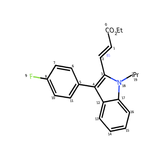 CCOC(=O)/C=C/c1c(-c2ccc(F)cc2)c2ccccc2n1C(C)C